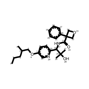 CCCC(C)COc1ccc(C(NC(=O)C2(c3ccccc3)COC2)C(C)(C)O)nc1